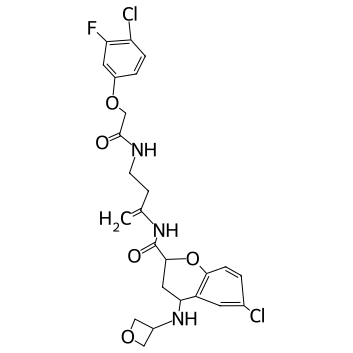 C=C(CCNC(=O)COc1ccc(Cl)c(F)c1)NC(=O)C1CC(NC2COC2)c2cc(Cl)ccc2O1